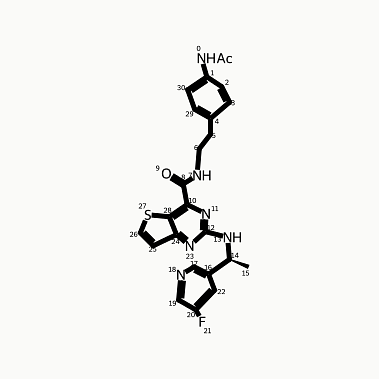 CC(=O)Nc1ccc(CCNC(=O)c2nc(N[C@@H](C)c3cncc(F)c3)nc3ccsc23)cc1